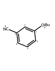 CC(C)COc1c[c]cc(C#N)c1